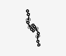 O=C(/C=C/c1ccc(-c2ccccc2)cc1)Oc1ccc(/C=C/C(=O)Oc2ccc3ccccc3c2-c2c(OC(=O)/C=C/c3ccc(OC(=O)/C=C/c4ccc(-c5ccccc5)cc4)cc3)ccc3ccccc23)cc1